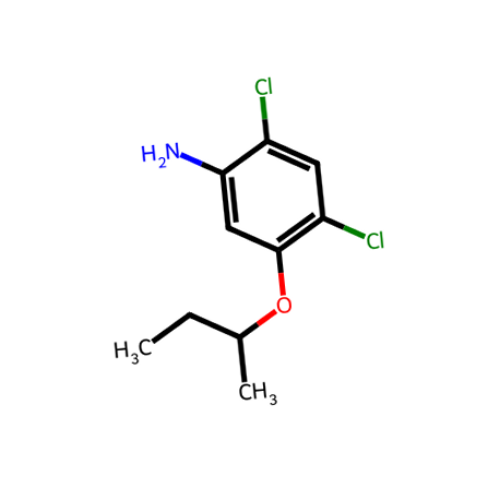 CCC(C)Oc1cc(N)c(Cl)cc1Cl